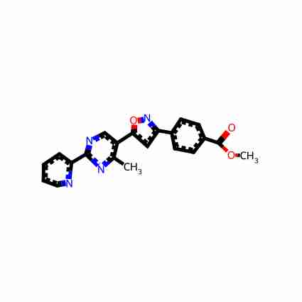 COC(=O)c1ccc(-c2cc(-c3cnc(-c4ccccn4)nc3C)on2)cc1